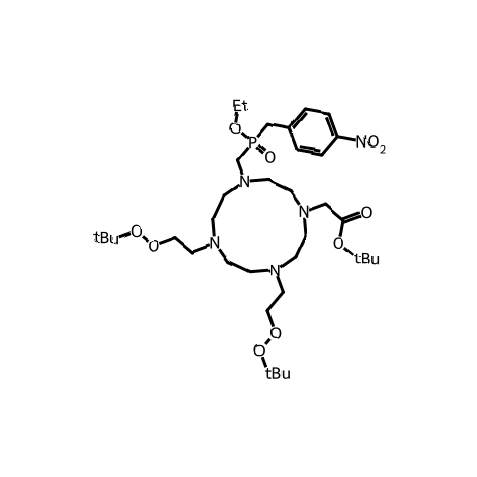 CCOP(=O)(Cc1ccc([N+](=O)[O-])cc1)CN1CCN(CCOOC(C)(C)C)CCN(CCOOC(C)(C)C)CCN(CC(=O)OC(C)(C)C)CC1